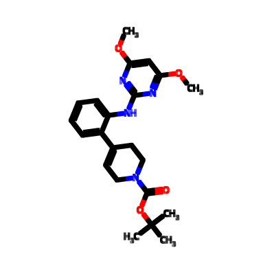 COc1cc(OC)nc(Nc2ccccc2C2=CCN(C(=O)OC(C)(C)C)CC2)n1